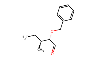 CC[C@H](C)[C@@H](C=O)OCc1ccccc1